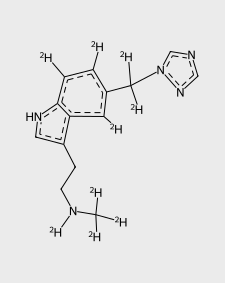 [2H]c1c(C([2H])([2H])n2cncn2)c([2H])c2c(CCN([2H])C([2H])([2H])[2H])c[nH]c2c1[2H]